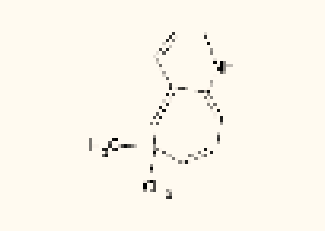 CC1(C)C=CC=C2NCC=CC2=C1